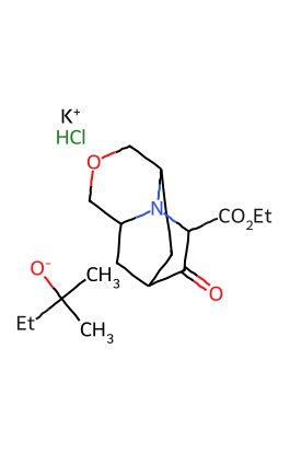 CCC(C)(C)[O-].CCOC(=O)C1C(=O)C2CC3COCC(C2)N31.Cl.[K+]